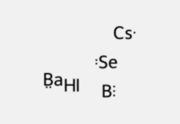 I.[B].[Ba].[Cs].[Se]